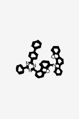 c1ccc(-c2ccc(-c3nc(-c4ccccc4)nc(-c4cccc5oc6c(-n7c8ccccc8c8ccc9c%10ccccc%10oc9c87)cccc6c45)n3)cc2)cc1